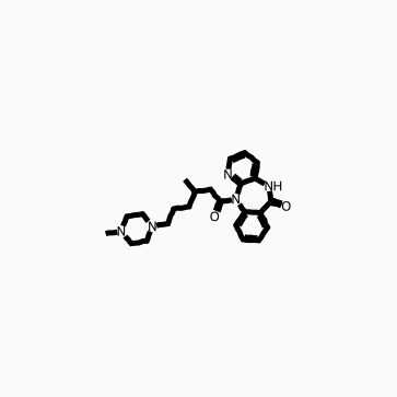 CC(CCCN1CCN(C)CC1)CC(=O)N1c2ccccc2C(=O)Nc2cccnc21